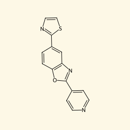 c1cc(-c2nc3cc(-c4nccs4)ccc3o2)ccn1